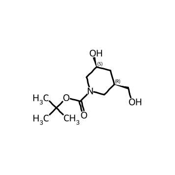 CC(C)(C)OC(=O)N1C[C@@H](O)C[C@@H](CO)C1